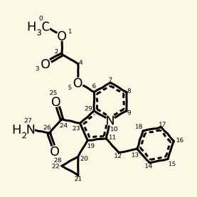 COC(=O)COc1cccn2c(Cc3ccccc3)c(C3CC3)c(C(=O)C(N)=O)c12